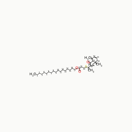 CCCCCCCCCCCCCCCCCCOC(=O)CCSC(C)CC(=O)C1C(C)C=CCC1(C)C